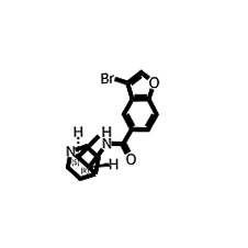 C[C@H]1[C@H](NC(=O)c2ccc3occ(Br)c3c2)C2CCN1CC2